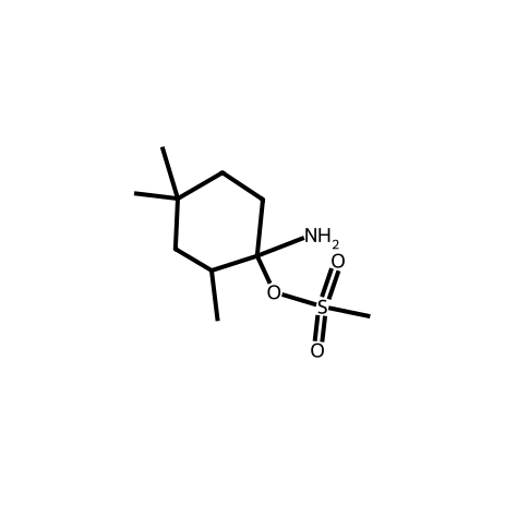 CC1CC(C)(C)CCC1(N)OS(C)(=O)=O